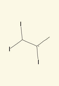 C[C](I)C(I)I